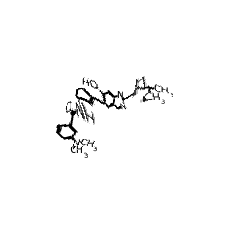 CC(C)Nc1ncc2cc(-c3cccc(NC(=O)c4cccc(N(C)C)c4)c3)c(O)cc2n1